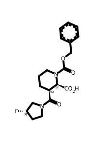 O=C(O)[C@H]1[C@@H](C(=O)N2CC[C@H](F)C2)CCCN1C(=O)OCc1ccccc1